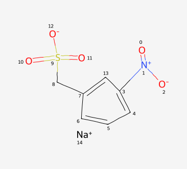 O=[N+]([O-])c1cccc(CS(=O)(=O)[O-])c1.[Na+]